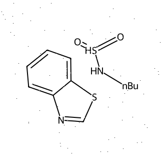 CCCCN[SH](=O)=O.c1ccc2scnc2c1